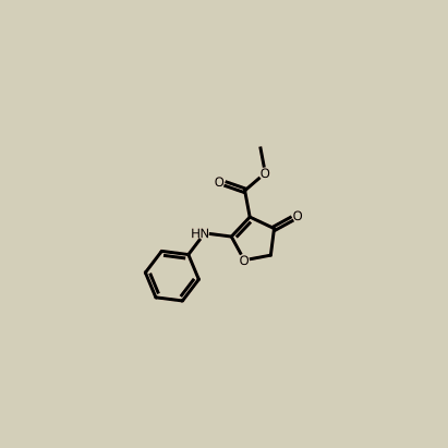 COC(=O)C1=C(Nc2ccccc2)OCC1=O